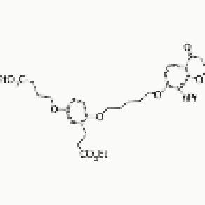 CCCc1c(OCCCCCOc2ccc(OCCCC(=O)OCC)cc2CCC(=O)OCC)ccc2c1OCCC2=O